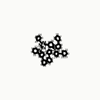 c1ccc(-c2cccc([Si](c3cccc(-c4ccccc4)c3)(c3cccc(-c4ccccc4)c3)c3cccc(-c4nc(-c5ccccc5)nc(-n5c6ccccc6c6cc(-c7ccccc7)ccc65)n4)c3)c2)cc1